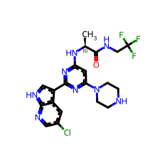 C[C@H](Nc1cc(N2CCNCC2)nc(-c2c[nH]c3ncc(Cl)cc23)n1)C(=O)NCC(F)(F)F